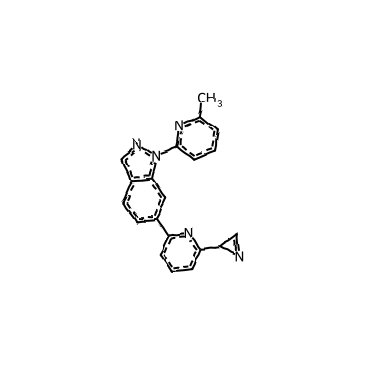 Cc1cccc(-n2ncc3ccc(-c4cccc(C5C=N5)n4)cc32)n1